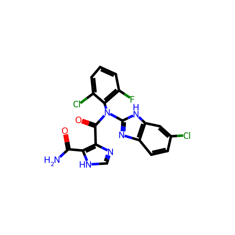 NC(=O)c1[nH]cnc1C(=O)N(c1nc2ccc(Cl)cc2[nH]1)c1c(F)cccc1Cl